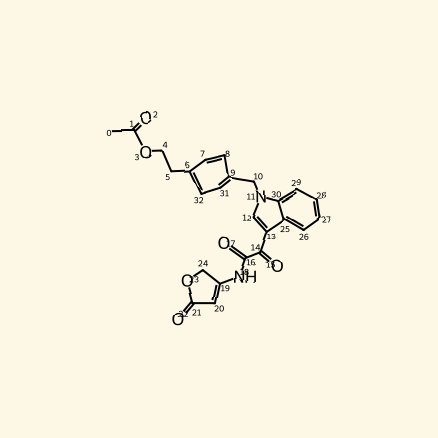 CC(=O)OCCc1ccc(Cn2cc(C(=O)C(=O)NC3=CC(=O)OC3)c3ccccc32)cc1